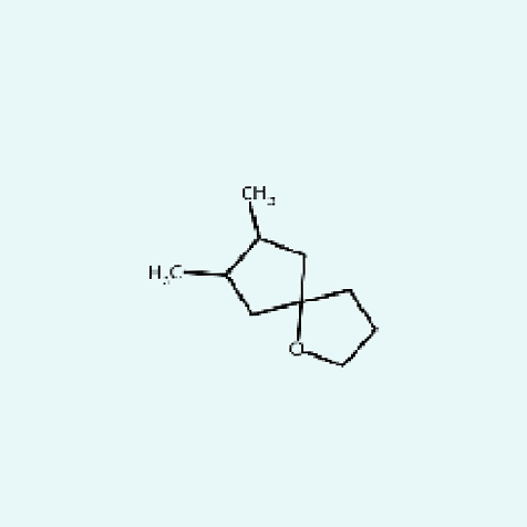 CC1CC2(CCCO2)CC1C